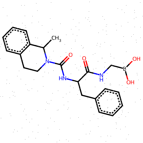 CC1c2ccccc2CCN1C(=O)NC(Cc1ccccc1)C(=O)NCB(O)O